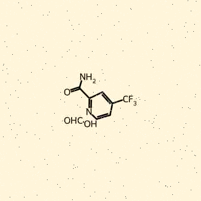 NC(=O)c1cc(C(F)(F)F)ccn1.O=CO